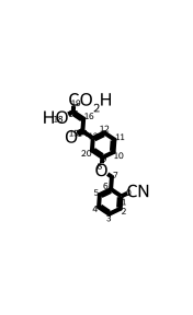 N#Cc1ccccc1COc1cccc(C(=O)C=C(O)C(=O)O)c1